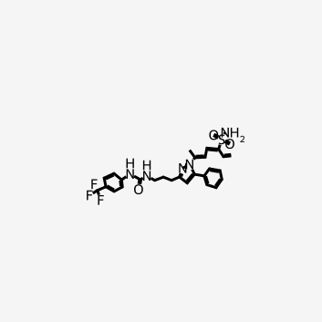 C=C/C(=C\C=C(/C)n1nc(CCCNC(=O)Nc2ccc(C(F)(F)F)cc2)cc1-c1ccccc1)S(N)(=O)=O